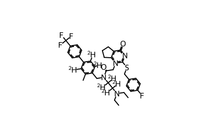 [2H]c1c([2H])c(-c2ccc(C(F)(F)F)cc2)c([2H])c(C)c1CN(C(=O)Cn1c(SCc2ccc(F)cc2)nc(=O)c2c1CCC2)C([2H])([2H])C([2H])([2H])N(CC)CC